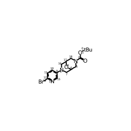 CC(C)(C)OC(=O)N1CC2CN(c3ccc(Br)nc3)CC(C1)O2